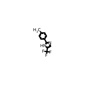 Cc1ccc(-c2ncc(C(F)(F)F)[nH]2)cc1